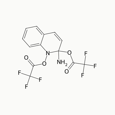 NC1(OC(=O)C(F)(F)F)C=Cc2ccccc2N1OC(=O)C(F)(F)F